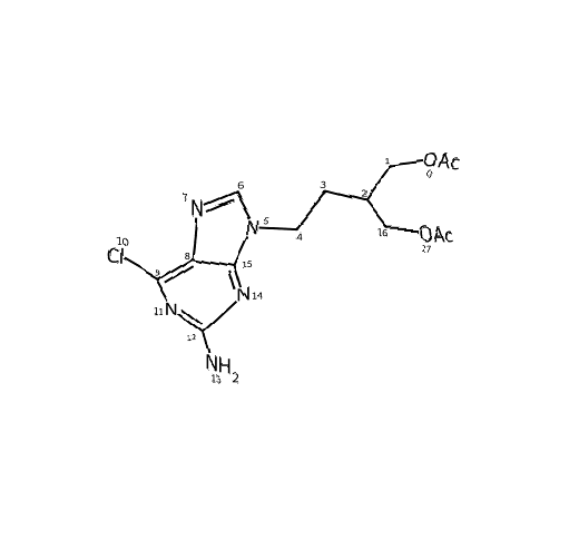 CC(=O)OCC(CCn1cnc2c(Cl)nc(N)nc21)COC(C)=O